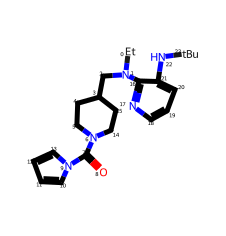 CCN(CC1CCN(C(=O)n2cccc2)CC1)c1ncccc1NC(C)(C)C